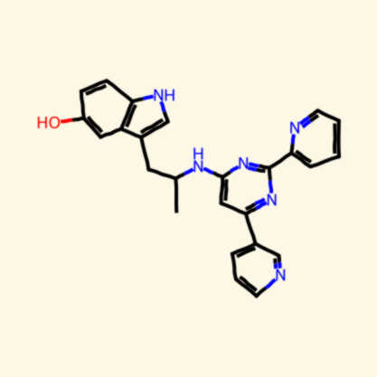 CC(Cc1c[nH]c2ccc(O)cc12)Nc1cc(-c2cccnc2)nc(-c2ccccn2)n1